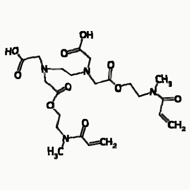 C=CC(=O)N(C)CCOC(=O)CN(CCN(CC(=O)O)CC(=O)OCCN(C)C(=O)C=C)CC(=O)O